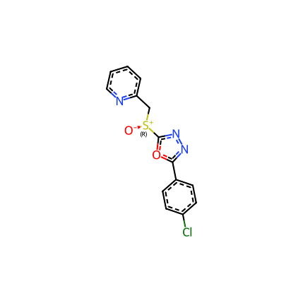 [O-][S@@+](Cc1ccccn1)c1nnc(-c2ccc(Cl)cc2)o1